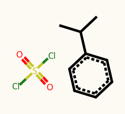 CC(C)c1ccccc1.O=S(=O)(Cl)Cl